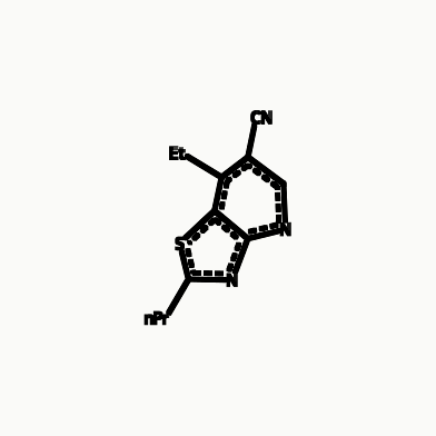 CCCc1nc2ncc(C#N)c(CC)c2s1